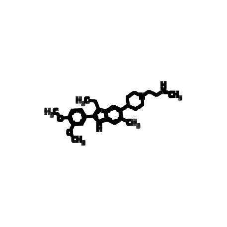 CCc1c(-c2ccc(OC)c(OC)c2)[nH]c2cc(C)c(C3CCN(CCNC)CC3)cc12